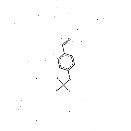 O=Cc1ccc(SC(F)(F)F)cn1